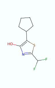 Oc1nc(C(F)F)sc1C1CCCC1